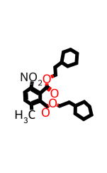 Cc1ccc([N+](=O)[O-])c(C(=O)OCCC2CCCCC2)c1C(=O)OCCC1CCCCC1